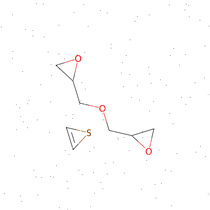 C(OCC1CO1)C1CO1.C1=CS1